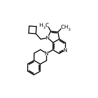 Cc1c(C)n(CC2CCC2)c2c(N3CCc4ccccc4C3)cncc12